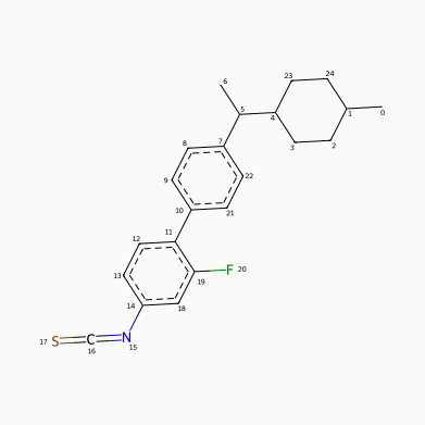 CC1CCC(C(C)c2ccc(-c3ccc(N=C=S)cc3F)cc2)CC1